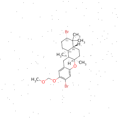 COCOc1cc2c(cc1Br)O[C@]1(C)CC[C@H]3C(C)(C)[C@@H](Br)CC[C@]3(C)[C@@H]1C2